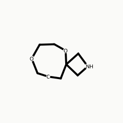 C1COCCOC2(C1)CNC2